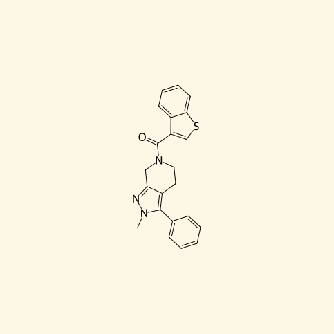 Cn1nc2c(c1-c1ccccc1)CCN(C(=O)c1csc3ccccc13)C2